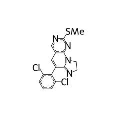 CSc1ncc2c(n1)N1CCN=C1C(c1c(Cl)cccc1Cl)=C2